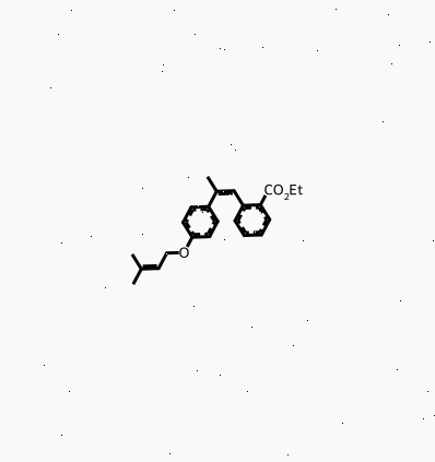 CCOC(=O)c1ccccc1C=C(C)c1ccc(OCC=C(C)C)cc1